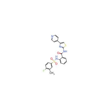 Cc1cc(S(=O)(=O)Nc2ccccc2C(=O)Nc2nc(-c3ccncc3)cs2)ccc1F